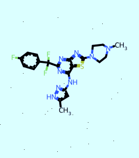 Cc1cc(Nc2nc(C(F)(F)c3ccc(F)cc3)nc3nc(N4CCN(C)CC4)sc23)n[nH]1